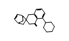 O=C1CC2(Cc3cccc(C4CCCCC4)c31)CC1C=CC2C1